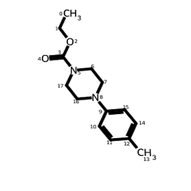 CCOC(=O)N1CCN(c2ccc(C)cc2)CC1